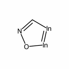 [CH]1=N[O][In]=[In]1